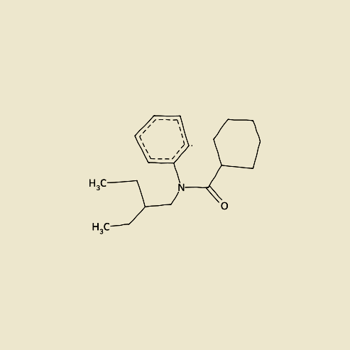 CCC(CC)CN(C(=O)C1CCCCC1)c1[c]cccc1